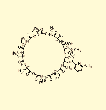 CC[C@H]1NC(=O)C([C@H](O)[C@H](C)CCCc2cccc(C)n2)N(C)C(=O)C(C(C)C)N(C)C(=O)[C@@H](CC(C)C)NC(=O)[C@@H](CC(C)C)N(C)C(=O)OC(=O)[C@@H](C)NC(=O)[C@@H](CC(C)C)N(C)C(=O)[C@@H](CC(C)C)NC(=O)[C@H](CC(C)C)N(C)C(=O)CN(C)C1=O